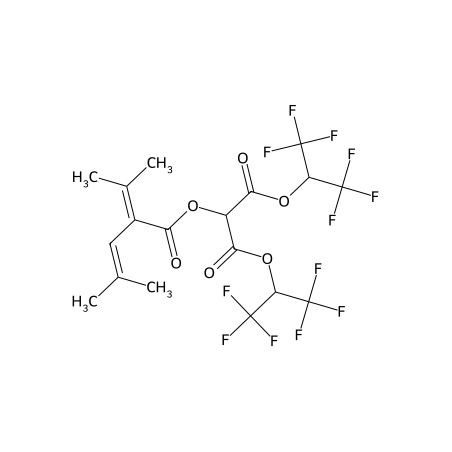 CC(C)=CC(C(=O)OC(C(=O)OC(C(F)(F)F)C(F)(F)F)C(=O)OC(C(F)(F)F)C(F)(F)F)=C(C)C